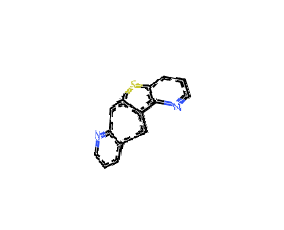 c1cnc2cc3sc4cccnc4c3cc2c1